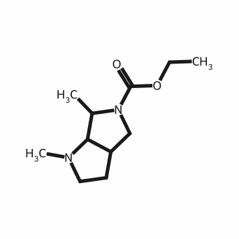 CCOC(=O)N1CC2CCN(C)C2C1C